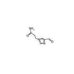 NC(=O)CCn1cnc(C=O)c1